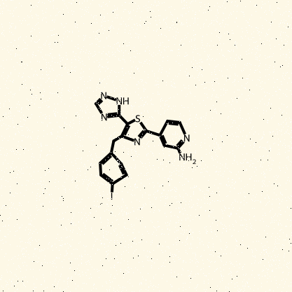 Nc1cc(-c2nc(Cc3ccc(I)cc3)c(-c3ncn[nH]3)s2)ccn1